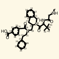 CNCC(=O)NC(C(=O)N1Cc2ccccc2CC1CN(CCc1ccccc1)C(=O)c1ccc(C(=O)O)cc1)C(C)(C)C